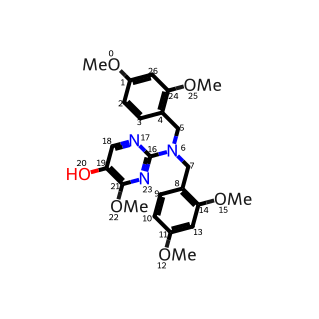 COc1ccc(CN(Cc2ccc(OC)cc2OC)c2ncc(O)c(OC)n2)c(OC)c1